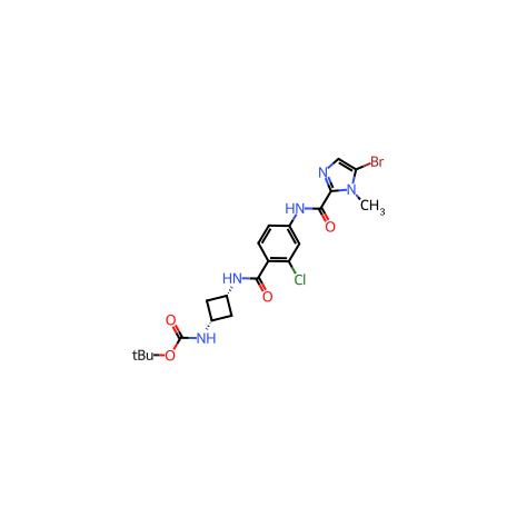 Cn1c(Br)cnc1C(=O)Nc1ccc(C(=O)N[C@H]2C[C@@H](NC(=O)OC(C)(C)C)C2)c(Cl)c1